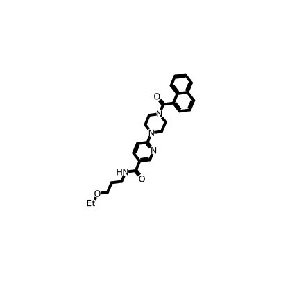 CCOCCCNC(=O)c1ccc(N2CCN(C(=O)c3cccc4ccccc34)CC2)nc1